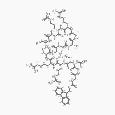 CC[C@H](C)[C@H](NC(=O)[C@H](CCCNC(=N)N)NC(=O)[C@H](CCCNC(=N)N)NC(=O)[C@H](C)NC(=O)[C@@H](NC(=O)[C@H](C)NC(=O)[C@H](CC(C)C)NC(=O)[C@H](CC(C)C)NC(=O)[C@H](CCCNC(=N)N)NC(=O)[C@H](CCCNC(=N)N)NC(=O)[C@H](CC(C)C)NC(=O)[C@H](CC(N)=O)NC(=O)CNC(=O)OCC1c2ccccc2-c2ccccc21)C(C)C)C(=O)N[C@@H](CC(C)C)C(=O)O